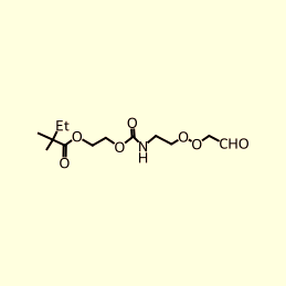 CCC(C)(C)C(=O)OCCOC(=O)NCCOOCC=O